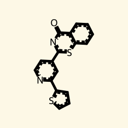 O=c1nc(-c2ccnc(-c3cccs3)c2)sc2ccccc12